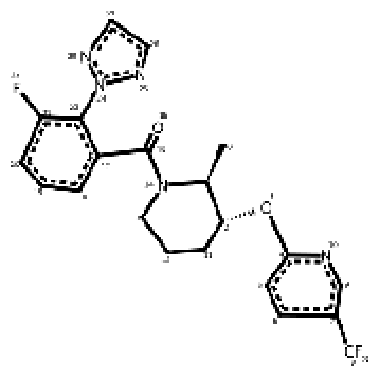 C[C@H]1[C@H](Oc2ccc(C(F)(F)F)cn2)CCCN1C(=O)c1cccc(F)c1-n1nccn1